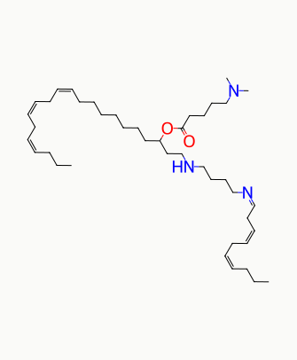 CCC/C=C\C/C=C\C/C=C\CCCCCCCC(CCNCCCC/N=C\C/C=C\C/C=C\CCC)OC(=O)CCCCN(C)C